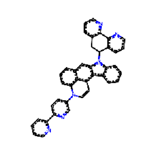 C1=CN(c2ccc(-c3ccccn3)nc2)c2cccc3cc4c(c1c23)c1ccccc1n4C1Cc2cccnc2-c2ncccc21